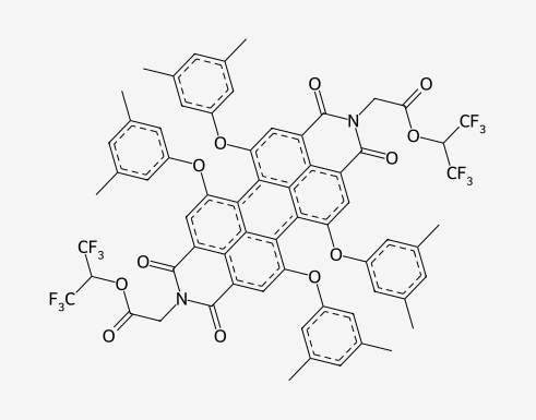 Cc1cc(C)cc(Oc2cc3c4c(cc(Oc5cc(C)cc(C)c5)c5c6c(Oc7cc(C)cc(C)c7)cc7c8c(cc(Oc9cc(C)cc(C)c9)c(c2c45)c86)C(=O)N(CC(=O)OC(C(F)(F)F)C(F)(F)F)C7=O)C(=O)N(CC(=O)OC(C(F)(F)F)C(F)(F)F)C3=O)c1